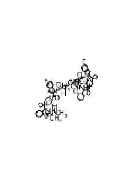 CN[C@@H](C)C(=O)N[C@H](C(=O)N1CCN(C(=O)c2cc3cc(F)ccc3n2CC(=O)NCCOCCNC(=O)Cn2c(C(=O)N3CCN(C(=O)[C@H](NC(=O)[C@@H](C)NC)C4CCCCC4)CC3)cc3cc(F)ccc32)CC1)C1CCCCC1